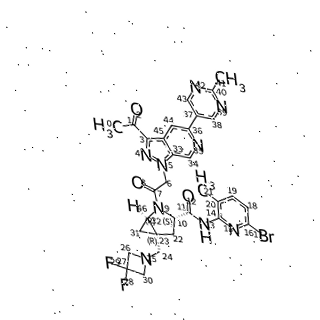 CC(=O)c1nn(CC(=O)N2[C@H](C(=O)Nc3nc(Br)ccc3C)C[C@@]3(CN4CC(F)(F)C4)C[C@@H]23)c2cnc(-c3cnc(C)nc3)cc12